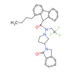 CCCCc1cccc2c1C(C(=O)N(CC(F)(F)F)N1CCC(N3Cc4ccccc4C3=O)C1)c1ccccc1-2